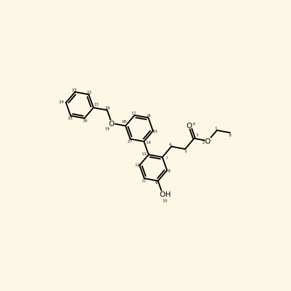 CCOC(=O)CCc1cc(O)ccc1-c1cccc(OCc2ccccc2)c1